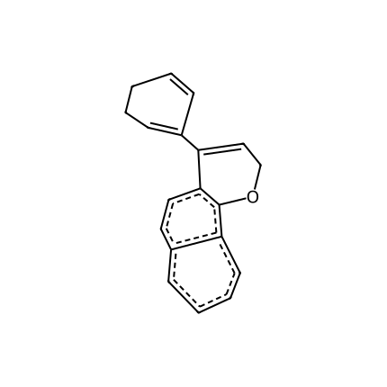 C1=CC(C2=CCOc3c2ccc2ccccc32)=CCC1